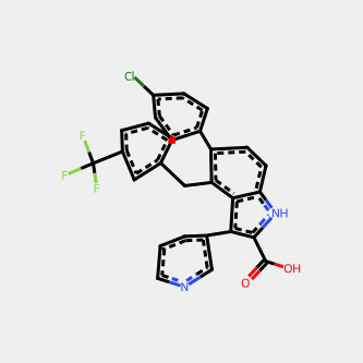 O=C(O)c1[nH]c2ccc(-c3ccc(Cl)cc3)c(Cc3cccc(C(F)(F)F)c3)c2c1-c1cccnc1